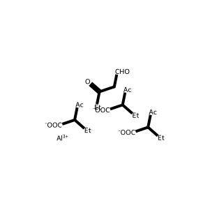 CCC(=O)CC=O.CCC(C(C)=O)C(=O)[O-].CCC(C(C)=O)C(=O)[O-].CCC(C(C)=O)C(=O)[O-].[Al+3]